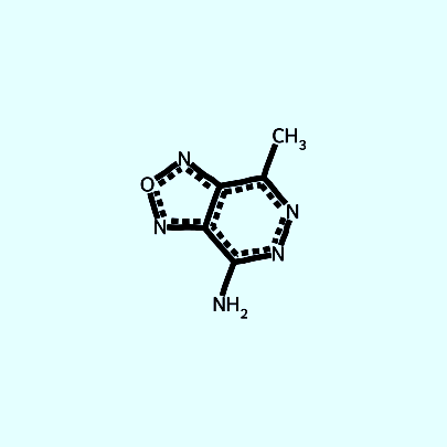 Cc1nnc(N)c2nonc12